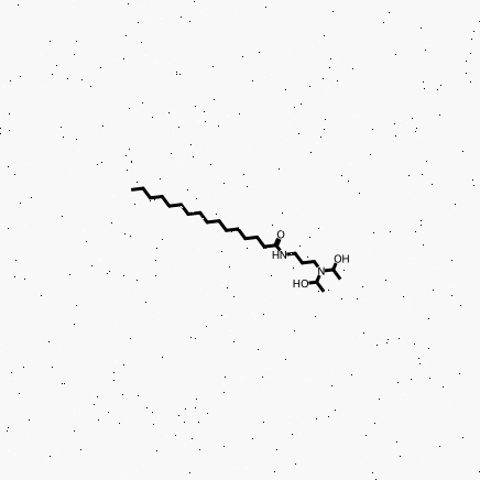 CCCCCCCCCCCCCCCC(=O)NCCCN(C(C)O)C(C)O